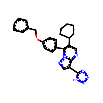 c1ccc(COc2ccc(-c3c(C4CCCCC4)cnc4c(-c5nnn[nH]5)cnn34)cc2)cc1